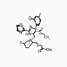 CCOC(=O)C1=C(CN2CC(F)CCC2CSCC(=O)O)NC(c2nccs2)=N[C@H]1c1ccc(F)cc1Cl